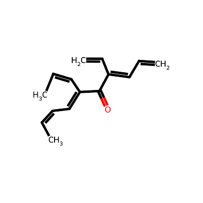 C=C/C=C(\C=C)C(=O)C(/C=C\C)=C/C=C\C